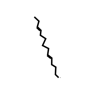 [CH2]CCCC=CCCCCC=CCC